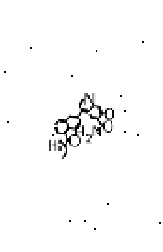 CCNC(=O)c1cccc2cc(-c3ccnc4cc(OC)c(C(N)=O)cc34)ccc12